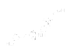 O=S(=O)(c1ccc(Nc2ncc(/C=C/c3cccc(O)c3)cn2)cc1)N1CCC(CO)CC1